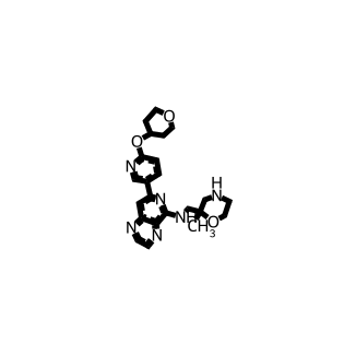 CC1(CNc2nc(-c3ccc(OC4CCOCC4)nc3)cc3nccnc23)CNCCO1